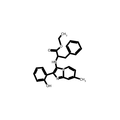 CCOC(=O)C(Cc1ccccc1)Nc1c(-c2ccccc2O)nc2cc(C)ccn12